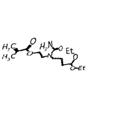 C=C(C)C(=O)OCCN(CCCC(OCC)OCC)C(N)=O